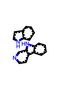 c1ccc2[nH]ccc2c1.c1ccc2c(c1)[nH]c1cnccc12